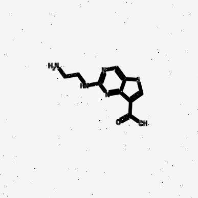 NCCNc1ncc2scc(C(=O)O)c2n1